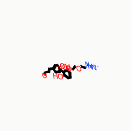 [N-]=[N+]=NCCOCCOC1(O)C=CC=C(O)C1C1(O)C=CC(CCC=O)=CC1